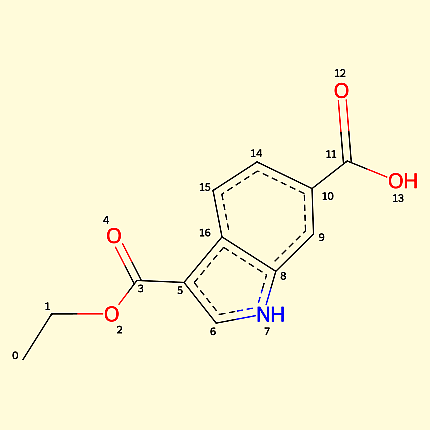 CCOC(=O)c1c[nH]c2cc(C(=O)O)ccc12